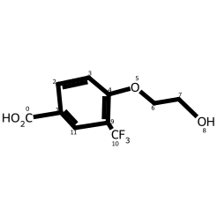 O=C(O)c1ccc(OCCO)c(C(F)(F)F)c1